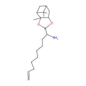 C=CCCCCCCC(N)B1OC2CC3CC(C3(C)C)C2(C)O1